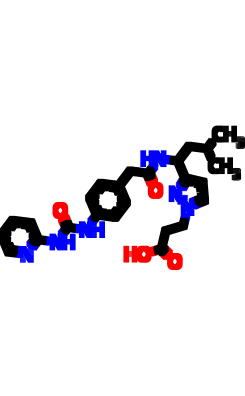 CC(C)CC(NC(=O)Cc1ccc(NC(=O)Nc2ccccn2)cc1)c1ccn(CCC(=O)O)n1